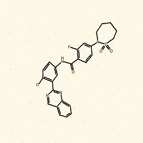 O=C(Nc1ccc(Cl)c(-c2ncc3ccccc3n2)c1)c1ccc(N2CCCCCS2(=O)=O)cc1F